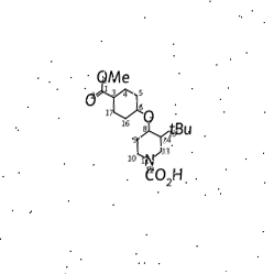 COC(=O)C1CCC(OC2CCN(C(=O)O)CC2C(C)(C)C)CC1